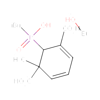 CCC(C)P(=O)(O)C1C(C(=O)O)=CC=CC1(C)C(=O)O.CCO